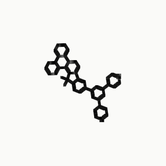 CC1(C)c2ccc(-c3cc(-c4ccncc4)cc(-c4ccncc4)c3)cc2-c2ccc3c4ccccc4c4ccccc4c3c21